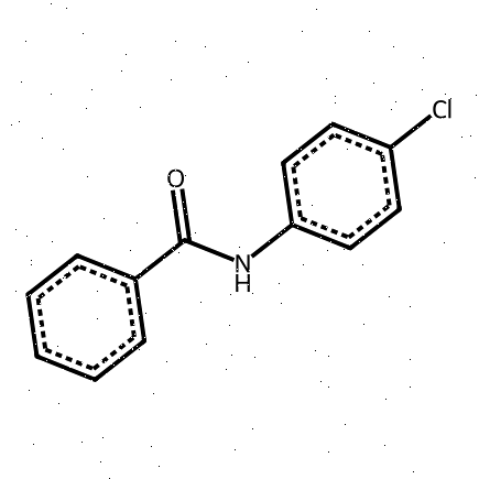 O=C(Nc1ccc(Cl)cc1)c1ccccc1